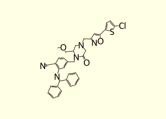 COCC1CN(Cc2cc(-c3ccc(Cl)s3)on2)CC(=O)N1Cc1ccc(C#N)c(N=C(c2ccccc2)c2ccccc2)c1